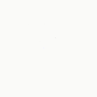 COc1cccc(/C=C(\C#N)C(=O)OCC(C)C)c1